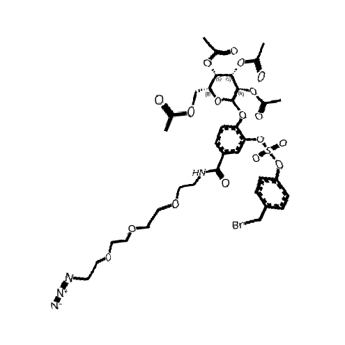 CC(=O)OC[C@H]1OC(Oc2ccc(C(=O)NCCOCCOCCOCCN=[N+]=[N-])cc2OS(=O)(=O)Oc2ccc(CBr)cc2)[C@H](OC(C)=O)[C@@H](OC(C)=O)[C@H]1OC(C)=O